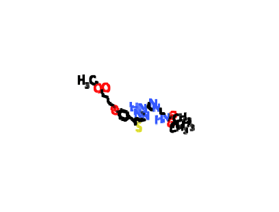 CCOC(=O)CCCCOc1ccc(-c2csc3cnc(Nc4cnn(CCCNC(=O)OC(C)(C)C)c4)nc23)cc1